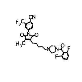 CC1=C(CCCCCN2CCN(C(=O)c3c(F)cccc3F)CC2)C(=O)N(c2ccc(C#N)c(C(F)(F)F)c2)C1=O